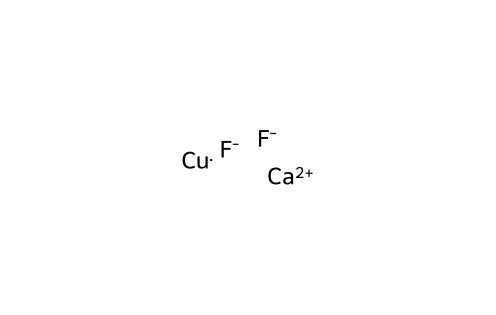 [Ca+2].[Cu].[F-].[F-]